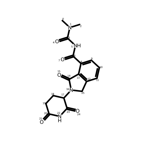 CN(C)C(=O)NC(=O)c1cccc2c1C(=O)N(C1CCC(=O)NC1=O)C2